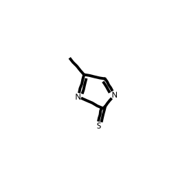 CC1=NC(=S)N=C1